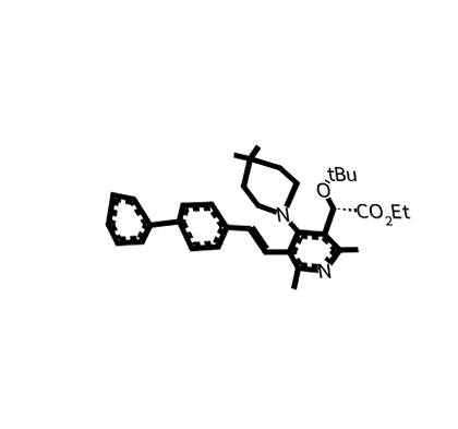 CCOC(=O)[C@@H](OC(C)(C)C)c1c(C)nc(C)c(/C=C/c2ccc(-c3ccccc3)cc2)c1N1CCC(C)(C)CC1